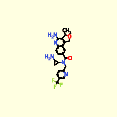 CC1OCc2c1c(N)nc1ccc(C(=O)N(Cc3ccc(C(F)(F)F)cn3)C3CC3N)cc21